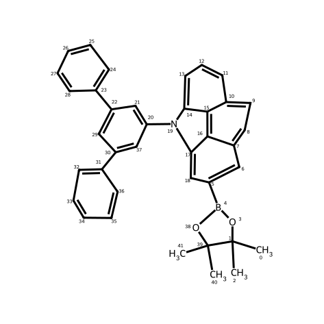 CC1(C)OB(c2cc3ccc4cccc5c4c3c(c2)n5-c2cc(-c3ccccc3)cc(-c3ccccc3)c2)OC1(C)C